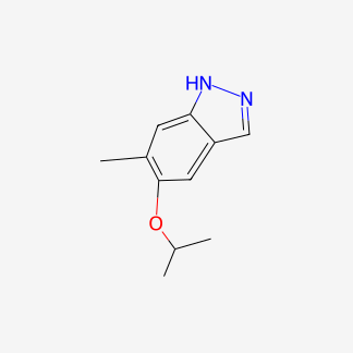 Cc1cc2[nH]ncc2cc1OC(C)C